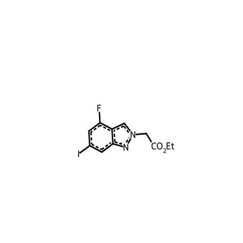 CCOC(=O)Cn1cc2c(F)cc(I)cc2n1